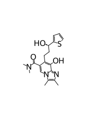 Cc1nc2c(O)c(CC[C@@H](O)c3cccs3)c(C(=O)N(C)C)cn2c1C